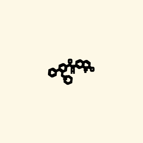 Cn1c(=O)ccc2ccc(NC(=O)c3ccc(-c4ccccc4)c(CN4CCCCC4)c3)cc21